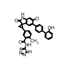 Cc1ccc(C2CC23C(=O)Nc2cc(Cl)c(-c4ccc(-c5ccccc5O)cc4)cc23)cc1C(=O)Nc1nnn[nH]1